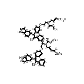 CC/C(=C(/c1ccc(OCC(c2cccc(/C(CC)=C(\c3ccc(OCCN(C/C=C/C(=O)O)C(=O)OC(C)(C)C)cc3)c3ccc4[nH]ncc4c3)c2)N(C/C=C/C(=O)OC)C(=O)OC(C)(C)C)cc1)c1ccc2[nH]ncc2c1)c1ccccc1